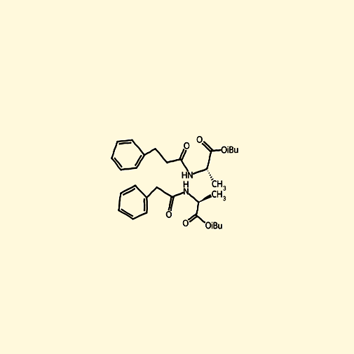 CC(C)COC(=O)[C@H](C)NC(=O)CCc1ccccc1.CC(C)COC(=O)[C@H](C)NC(=O)Cc1ccccc1